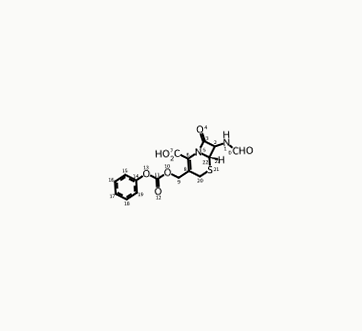 O=CNC1C(=O)N2C(C(=O)O)=C(COC(=O)Oc3ccccc3)CS[C@@H]12